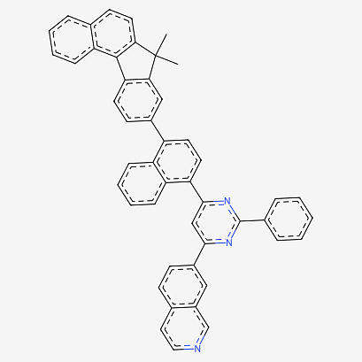 CC1(C)c2cc(-c3ccc(-c4cc(-c5ccc6ccncc6c5)nc(-c5ccccc5)n4)c4ccccc34)ccc2-c2c1ccc1ccccc21